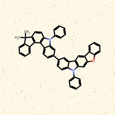 CC1(C)c2ccccc2-c2c1ccc1c2c2ccc(-c3ccc4c(c3)c3cc5c(cc3n4-c3ccccc3)oc3ccccc35)cc2n1-c1ccccc1